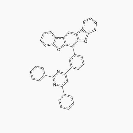 c1ccc(-c2cc(-c3cccc(-c4c5oc6ccccc6c5cc5c4oc4ccccc45)c3)nc(-c3ccccc3)n2)cc1